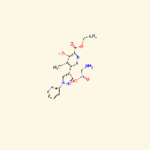 CCOC(=O)c1ncc(-c2cnn(-c3ccccc3)c2)c(C)c1O.NCC(=O)O